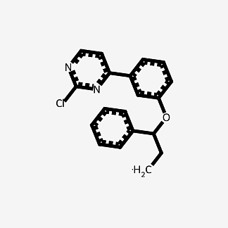 [CH2]CC(Oc1cccc(-c2ccnc(Cl)n2)c1)c1ccccc1